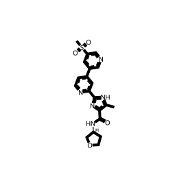 Cc1[nH]c(-c2cc(-c3cncc(S(C)(=O)=O)c3)ccn2)nc1C(=O)N[C@@H]1CCOC1